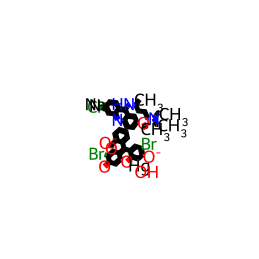 CCN(CC)CCCC(C)Nc1c2ccc(Cl)cc2nc2ccc(OC)cc12.O=C([O-])c1ccccc1-c1c2cc(Br)c(=O)cc-2oc2[c]([Hg][OH])c([O-])c(Br)cc12.[Na+].[Na+]